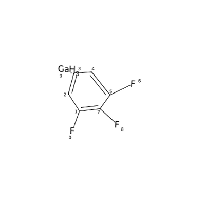 Fc1c[c]cc(F)c1F.[GaH3]